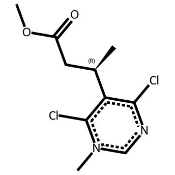 COC(=O)C[C@@H](C)c1c(Cl)nc[n+](C)c1Cl